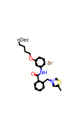 CCCCCCCCCCCCCCOc1cccc(NC(=O)c2ccccc2C[n+]2csc(C)c2)c1.[Br-]